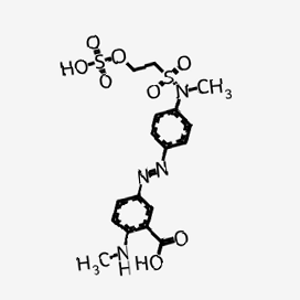 CNc1ccc(N=Nc2ccc(N(C)S(=O)(=O)CCOS(=O)(=O)O)cc2)cc1C(=O)O